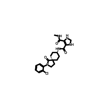 CNC(=O)C1=C(C(=O)N[C@H]2CC[C@@]3(CCN(c4ccccc4Cl)C3=O)CC2)NCN1